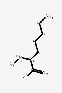 [2H]N[C@@H](CCCCN)C([2H])=O